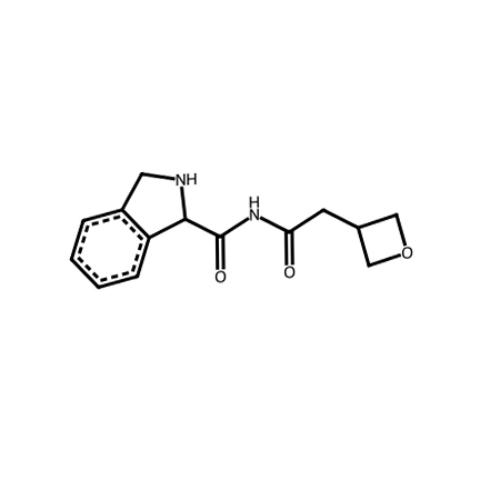 O=C(CC1COC1)NC(=O)C1NCc2ccccc21